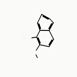 COc1c(SC(=O)O)ccc2ccccc12